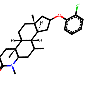 CC1CC2N(C)C(=O)CC[C@]2(C)[C@@H]2CC[C@]3(C)CC(Oc4ccccc4Cl)C[C@H]3[C@H]12